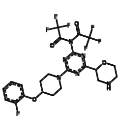 O=C(N(C(=O)C(F)(F)F)c1nc(C2CNCCO2)nc(N2CCC(Oc3ccccc3F)CC2)n1)C(F)(F)F